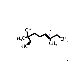 [CH]=CC(C)(O)CC/C=C(\C)CC